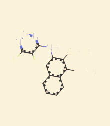 O=S(=O)(O)c1c(Nc2nnnc(F)c2F)cc2ccccc2c1S(=O)(=O)O